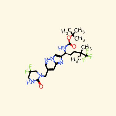 CC(C)(C)OC(=O)N[C@@H](CCC(C)(C)C(F)(F)F)c1cn2ncc(CN3CC(F)(F)CNC3=O)cc2n1